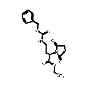 CCOC(=O)C(CCNC(=O)OCc1ccccc1)N1C(=O)CCC1=O